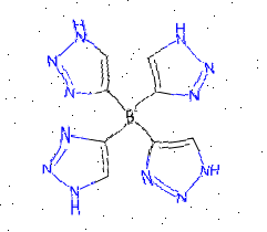 c1[nH]nnc1[B-](c1c[nH]nn1)(c1c[nH]nn1)c1c[nH]nn1